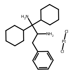 NC(Cc1ccccc1)C(N)(C1CCCCC1)C1CCCCC1.[Cl][Pt][Cl]